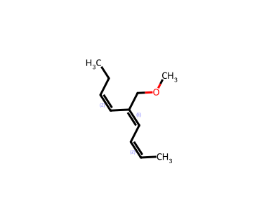 C\C=C/C=C(\C=C/CC)COC